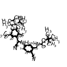 COc1cc(O[Si](C(C)C)(C(C)C)C(C)C)c(F)c(C(C#N)Nc2ccc(C#N)c(CNC(=O)OC(C)(C)C)c2)c1